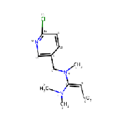 CN(C)C(=C[N+](=O)[O-])N(C)Cc1ccc(Cl)nc1